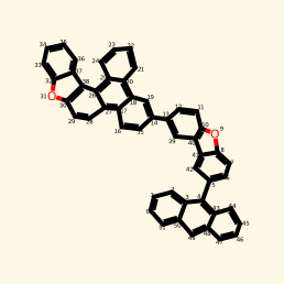 c1ccc2c(-c3ccc4oc5ccc(-c6ccc7c(c6)c6ccccc6c6c7ccc7oc8ccccc8c76)cc5c4c3)c3ccccc3cc2c1